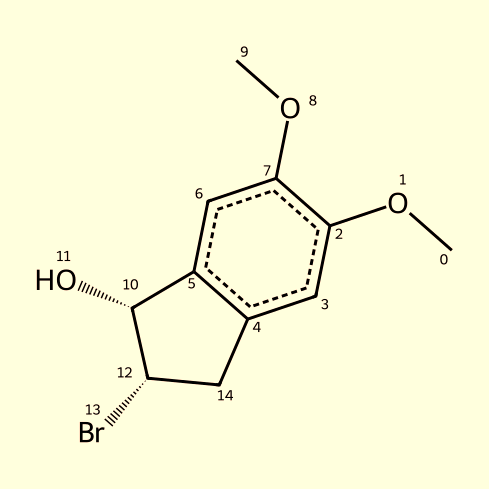 COc1cc2c(cc1OC)[C@@H](O)[C@@H](Br)C2